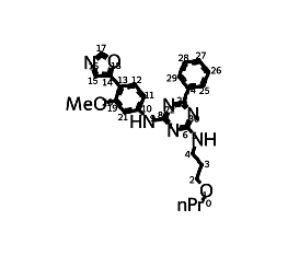 CCCOCCCNc1nc(Nc2ccc(-c3cnco3)c(OC)c2)nc(-c2ccccc2)n1